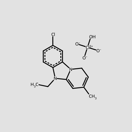 CCN1C2=CC(C)=CCN2c2cc(Cl)ccc21.[O-][Cl+3]([O-])([O-])O